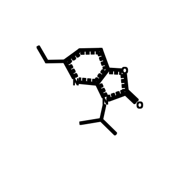 CCc1ccc2oc(=O)n(C(C)C)c2n1